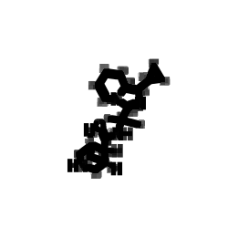 CC(C)(NC(=O)[C@H]1[C@@H]2CNC[C@H]1C2)c1nc(C2CC2)c2ccccn12